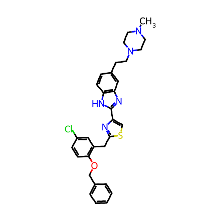 CN1CCN(CCc2ccc3[nH]c(-c4csc(Cc5cc(Cl)ccc5OCc5ccccc5)n4)nc3c2)CC1